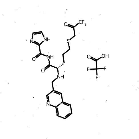 O=C(NC(=O)[C@H](CCCSCC(=O)C(F)(F)F)NCc1cnc2ccccc2c1)c1ncc[nH]1.O=C(O)C(F)(F)F